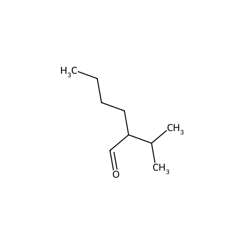 CCCCC(C=O)C(C)C